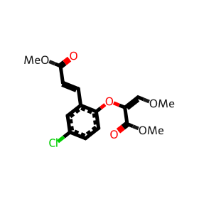 COC=C(Oc1ccc(Cl)cc1C=CC(=O)OC)C(=O)OC